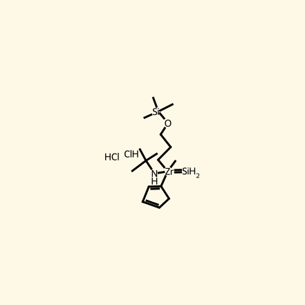 CC(C)(C)[NH][Zr]([CH3])(=[SiH2])([CH2]CCO[Si](C)(C)C)[C]1=CC=CC1.Cl.Cl